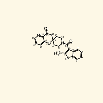 Nc1sc2ccccc2c1C(=O)N1CCC2(CC1)CC(=O)c1ncccc1O2